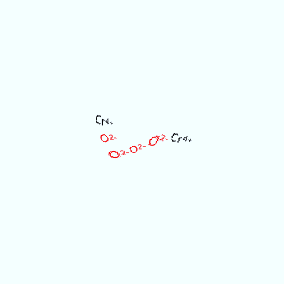 [Cr+4].[Cr+4].[O-2].[O-2].[O-2].[O-2]